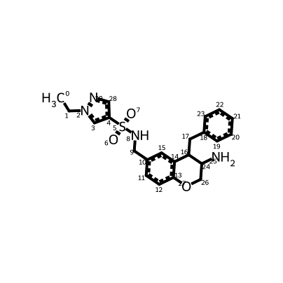 CCn1cc(S(=O)(=O)NCc2ccc3c(c2)C(Cc2ccccc2)C(N)CO3)cn1